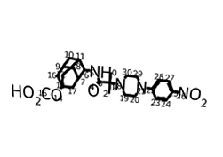 CC(C)(C(=O)NC1C2CC3CC1CC(OC(=O)O)(C3)C2)N1CCN(c2ccc([N+](=O)[O-])cc2)CC1